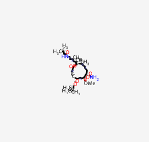 COCO[C@@H]1/C=C/C(OCOCC[Si](C)(C)C)CCC/C=C/C(=O)O[C@@H]([C@H](C)/C=C(C)/C=C/NC(=O)C=C(C)C)C/C(C)=C/C=C/CC[C@H]1OC(N)=O